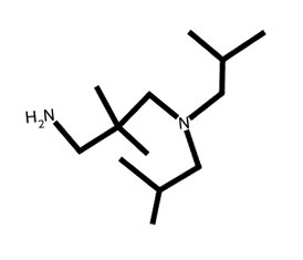 CC(C)CN(CC(C)C)CC(C)(C)CN